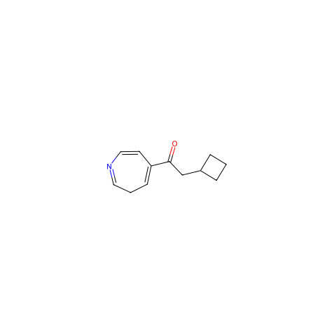 O=C(CC1CCC1)C1=CCC=NC=C1